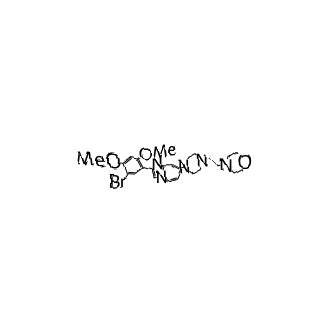 COc1cc(OC)c(-c2cn3ccc(N4CCN(CCN5CCOCC5)CC4)cc3n2)cc1Br